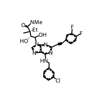 CC[C@](C)(C(=O)NC)[C@@H](O)C(O)n1cnc2c(NCc3cccc(Cl)c3)nc(C#Cc3ccc(F)c(F)c3)nc21